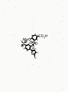 COc1ccc(C(=O)O)cc1S(=O)(=O)Nc1cc(S(C)(=O)=O)ccc1-c1ccc(C)s1